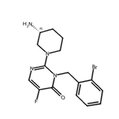 N[C@@H]1CCCN(c2ncc(F)c(=O)n2Cc2ccccc2Br)C1